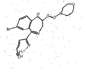 C#C/C=C\C(=N/C)C1=NCC(OON2CCOCC2)Nc2ccc(Br)cc21